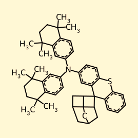 CC1(C)CCC(C)(C)c2cc(N(c3ccc4c(c3)C(C)(C)CCC4(C)C)c3ccc4c(c3)C3(c5ccccc5S4)C4CC5CC6CC3C64C5)ccc21